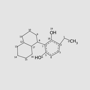 CCc1ccc(O)c(C2CCCC3CCCCC32)c1O